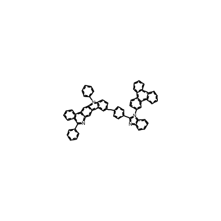 c1ccc(-c2nc3cc4c5cc(-c6ccc(-c7nc8ccccc8n7-c7ccc8c9ccccc9c9ccccc9c8c7)cc6)ccc5n(-c5ccccc5)c4cc3c3ccccc23)cc1